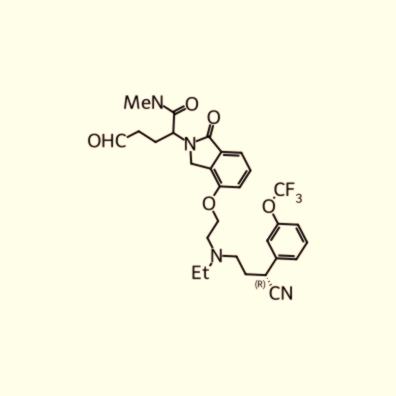 CCN(CCOc1cccc2c1CN(C(CCC=O)C(=O)NC)C2=O)CC[C@@H](C#N)c1cccc(OC(F)(F)F)c1